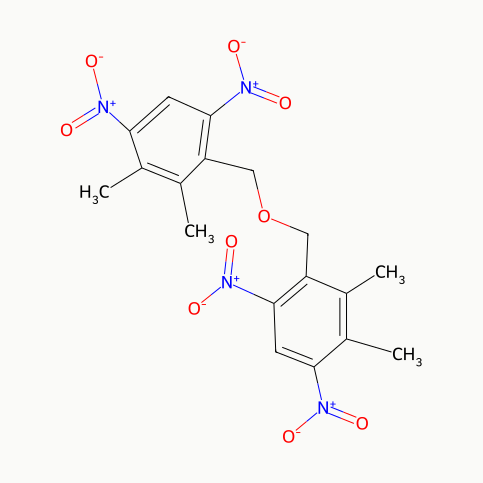 Cc1c([N+](=O)[O-])cc([N+](=O)[O-])c(COCc2c([N+](=O)[O-])cc([N+](=O)[O-])c(C)c2C)c1C